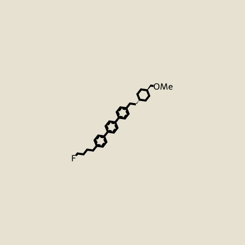 COC[C@H]1CC[C@H](CCc2ccc(-c3ccc(-c4ccc(CCCCF)cc4)cc3)cc2)CC1